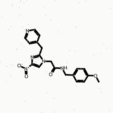 COc1ccc(CNC(=O)Cn2cc([N+](=O)[O-])nc2Cc2ccncc2)cc1